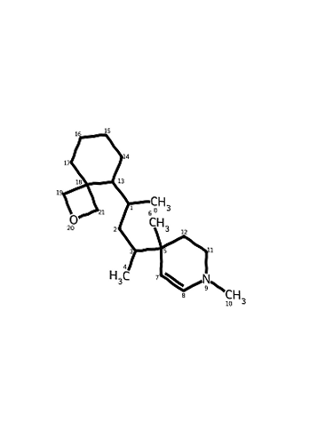 CC(CC(C)C1(C)C=CN(C)CC1)C1CCCCC12COC2